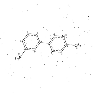 Cc1ccc(-c2cccc(N)c2)cn1